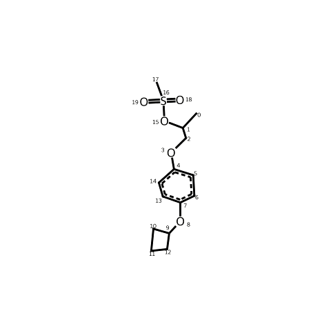 CC(COc1ccc(OC2CCC2)cc1)OS(C)(=O)=O